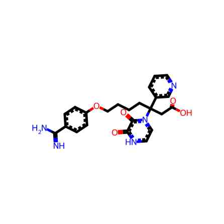 N=C(N)c1ccc(OCCCCC(CC(=O)O)(c2cccnc2)n2cc[nH]c(=O)c2=O)cc1